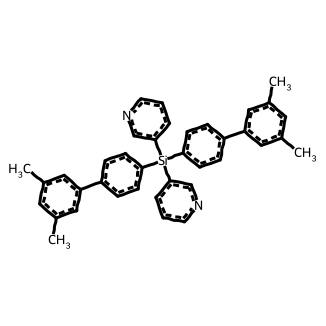 Cc1cc(C)cc(-c2ccc([Si](c3ccc(-c4cc(C)cc(C)c4)cc3)(c3cccnc3)c3cccnc3)cc2)c1